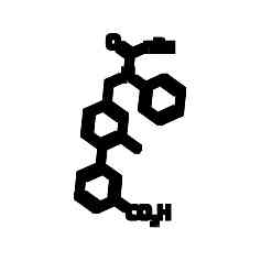 CCCCC(=O)N(Cc1ccc(-c2cccc(C(=O)O)c2)c(C)c1)c1ccccc1